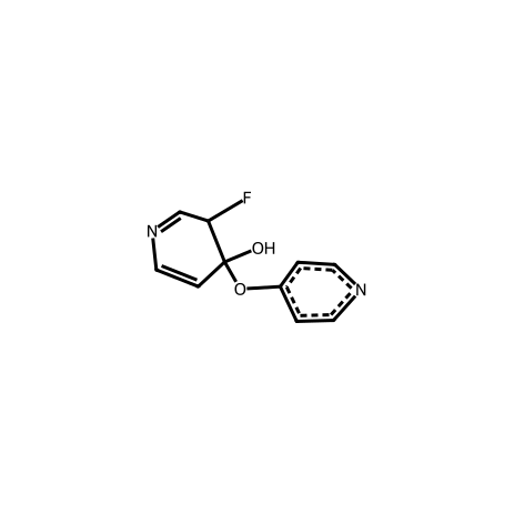 OC1(Oc2ccncc2)C=CN=CC1F